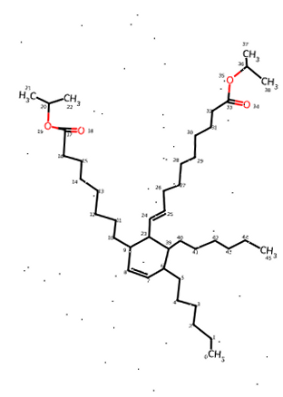 CCCCCCC1C=CC(CCCCCCCC(=O)OC(C)C)C(C=CCCCCCCCC(=O)OC(C)C)C1CCCCCC